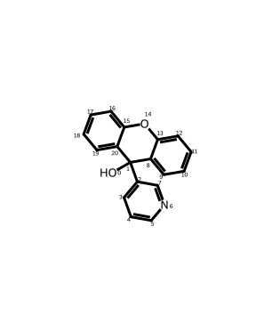 OC1(c2cccnc2)c2ccccc2Oc2ccccc21